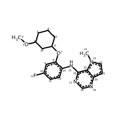 COC1CCCC(Oc2cc(F)ccc2Nc2ncnc3ccn(C)c23)C1